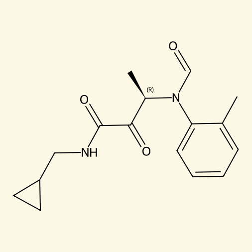 Cc1ccccc1N(C=O)[C@H](C)C(=O)C(=O)NCC1CC1